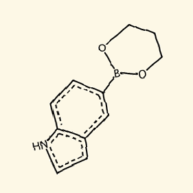 c1cc2cc(B3OCCCO3)ccc2[nH]1